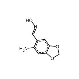 Nc1cc2c(cc1C=NO)OCO2